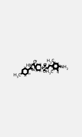 Cc1cc(N)c(I)c(C)c1CCS(=O)(=O)N1CCC2(CC1)N=C(C1CCC(C)CC1)NC2=O